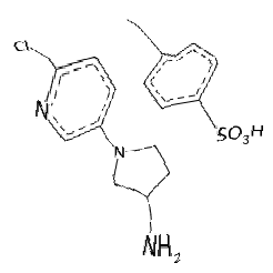 Cc1ccc(S(=O)(=O)O)cc1.NC1CCN(c2ccc(Cl)nc2)C1